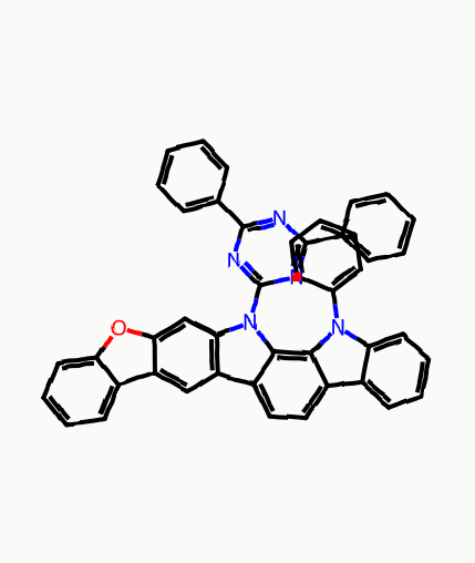 c1ccc(-c2nc(-c3ccccc3)nc(-n3c4cc5oc6ccccc6c5cc4c4ccc5c6ccccc6n(-c6ccccc6)c5c43)n2)cc1